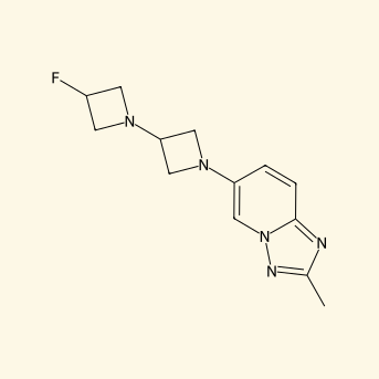 Cc1nc2ccc(N3CC(N4CC(F)C4)C3)cn2n1